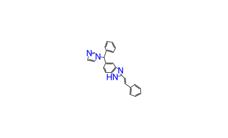 C(=Cc1nc2cc(C(c3ccccc3)n3ccnc3)ccc2[nH]1)c1ccccc1